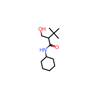 CC(C)(C)C(CO)C(=O)NC1CCCCC1